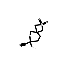 CC1(C#N)CCC2(CC1)CS(=O)(=O)C2